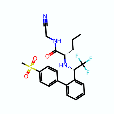 CCC[C@H](N[C@@H](c1ccccc1-c1ccc(S(C)(=O)=O)cc1)C(F)(F)F)C(=O)NCC#N